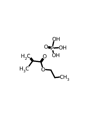 C=C(C)C(=O)OCCC.O=P(O)(O)O